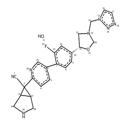 Cl.N#CC1(c2ccc(-c3ccc([C@@H]4CN(Cn5ccnn5)CO4)cc3F)cn2)C2CNCC21